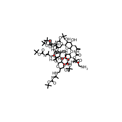 C=C(C[C@H]1C(OC2[C@@H](CNC(=O)CN)O[C@@H](O[C@@H]3C(O)[C@H](C/C(=N\C(=O)OC(C)(C)C)NC(=O)OC(C)(C)C)CC(N/C(C)=N/C(=O)OC(C)(C)C)[C@H]3O[C@H]3OC(CN/C(C)=N/C(=O)OC(C)(C)C)[C@@H](O)[C@H](O)C3N/C(C)=N\C(=O)OC(C)(C)C)[C@H]2O)O[C@@H](CC/C(=N\C(=O)OC(C)(C)C)NC(=O)OC(C)(C)C)C(O)[C@H]1O)NC(=O)OC(C)(C)C